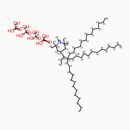 CCCCCCCCCCCCCC(CCCCCCCCCCCCC)(CCCCCCCCCCCCC)C(CC)C1CC(C)(C)N(C)C(C)(C)C1.O=C(O)O.O=C(O)O.O=C(O)O.O=C(O)O